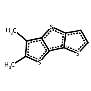 Cc1sc2c(sc3ccsc32)c1C